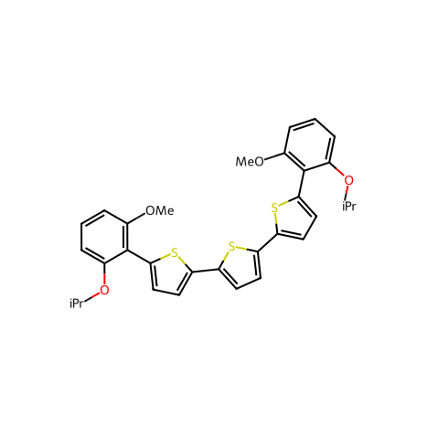 COc1cccc(OC(C)C)c1-c1ccc(-c2ccc(-c3ccc(-c4c(OC)cccc4OC(C)C)s3)s2)s1